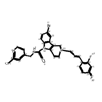 O=C(NCc1ccnc(Cl)c1)n1c2c(c3cc(Br)ccc31)CN(CC=Cc1ccc(F)cc1F)CC2